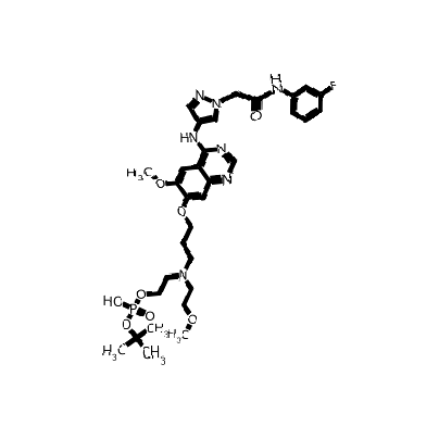 COCCN(CCCOc1cc2ncnc(Nc3cnn(CC(=O)Nc4cccc(F)c4)c3)c2cc1OC)CCOP(=O)(O)OC(C)(C)C